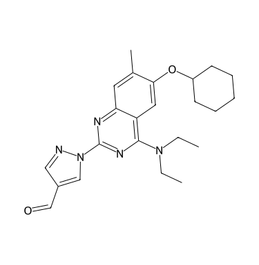 CCN(CC)c1nc(-n2cc(C=O)cn2)nc2cc(C)c(OC3CCCCC3)cc12